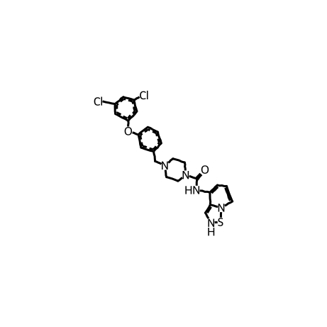 O=C(NC1=CC=CN2SNC=C12)N1CCN(Cc2cccc(Oc3cc(Cl)cc(Cl)c3)c2)CC1